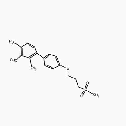 Cc1ccc(-c2ccc(OCCCS(C)(=O)=O)cc2)c(C)c1C=O